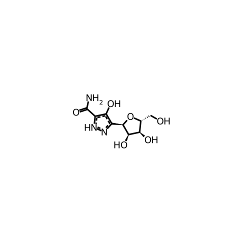 NC(=O)c1[nH]nc([C@H]2O[C@H](CO)[C@@H](O)[C@H]2O)c1O